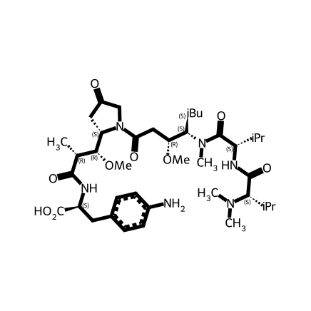 CC[C@H](C)[C@@H]([C@@H](CC(=O)N1CC(=O)C[C@H]1[C@H](OC)[C@@H](C)C(=O)N[C@@H](Cc1ccc(N)cc1)C(=O)O)OC)N(C)C(=O)[C@@H](NC(=O)[C@H](C(C)C)N(C)C)C(C)C